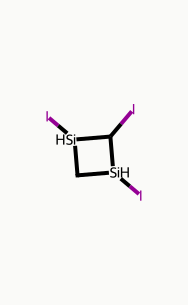 IC1[SiH](I)C[SiH]1I